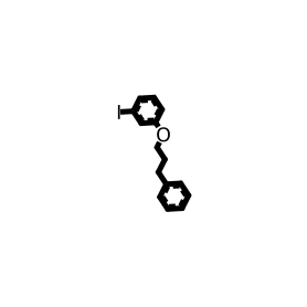 Ic1cccc(OCCCc2ccccc2)c1